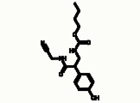 CCCCOC(=O)NCC(C(=O)NCC#N)c1ccc(O)cc1